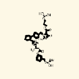 CCCCc1nc(Cl)c(C(=O)OCCCON(O)O)n1Cc1ccc(-c2ccccc2-c2nnn(C(C)OC(=O)Oc3cccc(CON(O)O)c3)n2)cc1